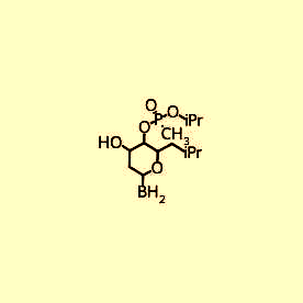 BC1CC(O)C(OP(C)(=O)OC(C)C)C(CC(C)C)O1